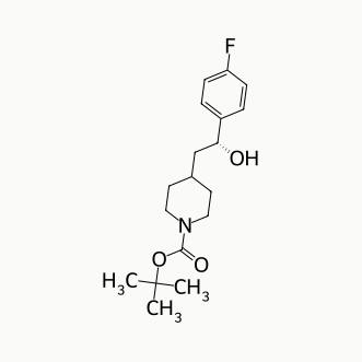 CC(C)(C)OC(=O)N1CCC(C[C@@H](O)c2ccc(F)cc2)CC1